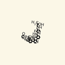 COc1nc(-c2ccnc(-c3cccc(Nc4nccc(CNC[C@@H](C)O)c4F)c3Cl)c2C)ccc1CNC[C@@H]1CCC(=O)N1